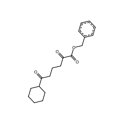 O=C(CCCC(=O)C1CCCCC1)C(=O)OCc1ccccc1